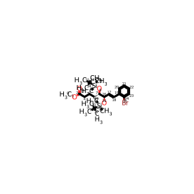 COC(=O)CCC[C@H](O[Si](C)(C)C(C)(C)C)[C@@H](/C=C/c1ccccc1Br)O[Si](C)(C)C(C)(C)C